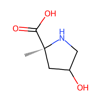 C[C@@]1(C(=O)O)CC(O)CN1